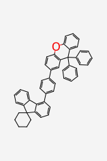 c1ccc(C2(c3ccccc3)c3ccccc3Oc3ccc(-c4ccc(-c5cccc6c5-c5ccccc5C65CCCCC5)cc4)cc32)cc1